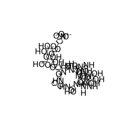 COc1cc(C2OCC3OC(OC4C(CO)OC(Oc5ccc(CC6NC(=O)C(C(C)c7ccccc7)NC(=O)CNC(=O)C(CO)NC(=O)C(C(O)C7CNC(=N)N7C7OC(CO)C(O)C(O)C7O)NC(=O)C(C(O)C7CNC(=N)N7)NC6=O)cc5)C(O)C4O)C(O)C(O)C3O2)ccc1[N+](=O)[O-]